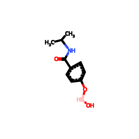 CC(C)NC(=O)c1ccc(OBO)cc1